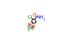 NC(=O)c1ccc(S(=O)(=O)C(F)(F)F)cc1Cl